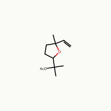 C=CC1(C)CCC(C(C)(C)OC(C)=O)O1